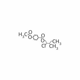 CCC(C)C(Cl)COC(=O)c1ccc(OC(C)=O)cc1